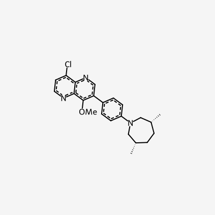 COc1c(-c2ccc(N3C[C@H](C)CC[C@H](C)C3)cc2)cnc2c(Cl)ccnc12